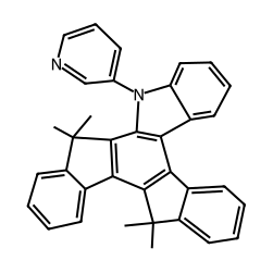 CC1(C)c2ccccc2-c2c1c1c(c3c2c2ccccc2n3-c2cccnc2)C(C)(C)c2ccccc2-1